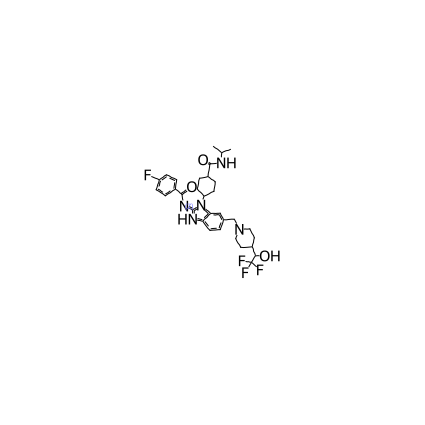 CC(C)NC(=O)C1CCC(n2/c(=N\C(=O)c3ccc(F)cc3)[nH]c3ccc(CN4CCC(C(O)C(F)(F)F)CC4)cc32)CC1